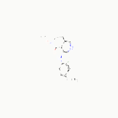 Cc1ccc(Nc2cncc3c2C(=O)N(OC(C)C)CC3)c(F)c1